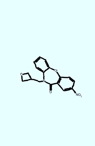 O=C1c2cc([N+](=O)[O-])ccc2Oc2ccccc2N1CC1COC1